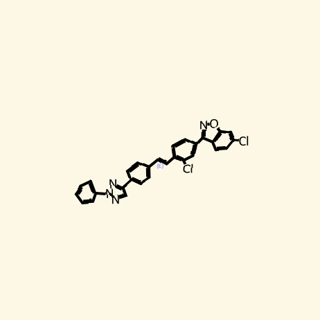 Clc1ccc2c(-c3ccc(/C=C/c4ccc(-c5cnn(-c6ccccc6)n5)cc4)c(Cl)c3)noc2c1